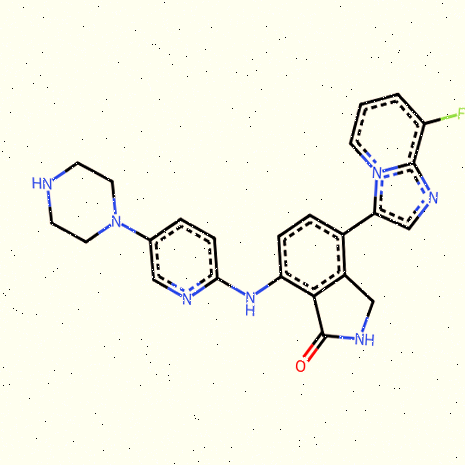 O=C1NCc2c(-c3cnc4c(F)cccn34)ccc(Nc3ccc(N4CCNCC4)cn3)c21